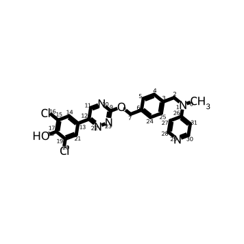 CN(Cc1ccc(COc2ncc(-c3cc(Cl)c(O)c(Cl)c3)nn2)cc1)c1ccncc1